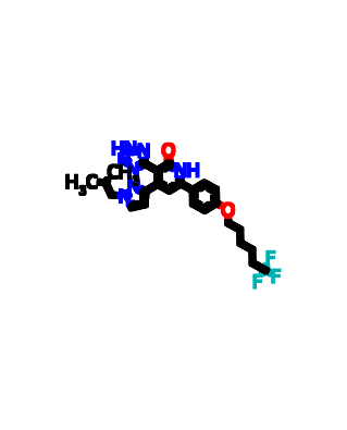 CC(C)Cn1ccc(-c2cc(-c3ccc(OCCCCCC(F)(F)F)cc3)[nH]c(=O)c2-c2nn[nH]n2)n1